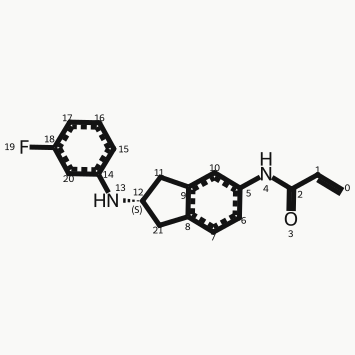 C=CC(=O)Nc1ccc2c(c1)C[C@@H](Nc1cccc(F)c1)C2